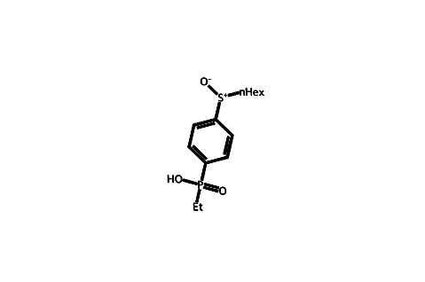 CCCCCC[S+]([O-])c1ccc(P(=O)(O)CC)cc1